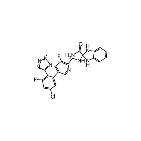 Cn1nnc(-c2c(F)cc(Cl)cc2-c2cnc(CNC3(C(N)=O)Nc4ccccc4N3)c(F)c2)n1